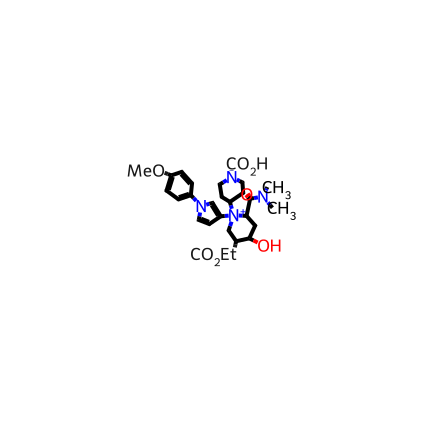 CCOC(=O)C1C[N+](c2ccn(-c3ccc(OC)cc3)c2)(C2CCN(C(=O)O)CC2)C(C(=O)N(C)C)CC1O